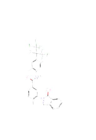 Cc1cc(C(F)(C(F)(F)F)C(F)(F)F)c(C)cc1NC(=O)c1ccc(C)c(N2Cc3ccccc3C2=O)c1